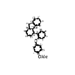 COc1ccc(Oc2ccccc2-c2cccc3c2-c2ccccc2C3)cc1